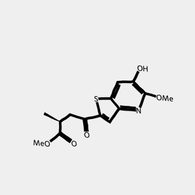 COC(=O)[C@@H](C)CC(=O)c1cc2nc(OC)c(O)cc2s1